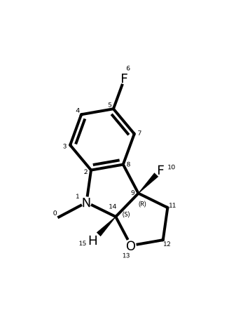 CN1c2ccc(F)cc2[C@]2(F)CCO[C@H]12